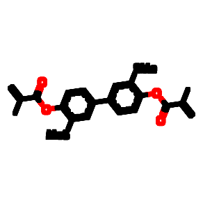 C=C(C)C(=O)Oc1ccc(-c2ccc(OC(=O)C(=C)C)c(SC)c2)cc1SC